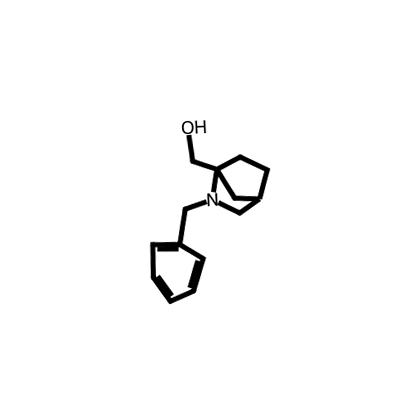 OCC12CCC(CN1Cc1ccccc1)C2